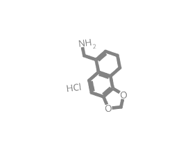 Cl.NCC1=CCCc2c1ccc1c2OCO1